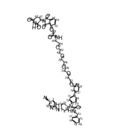 N#Cc1ccc(N[C@H]2CC[C@H](N(C(=O)NCc3ccccc3)c3ccc(-c4ccnc(OCCOCCOCCOCCOCCNC(=O)COc5cccc6c5C(=O)N(C5CCC(=O)NC5=O)C6=O)c4)cc3)CC2)nc1